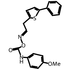 COc1ccc(NC(=O)ON=CCc2ccc(-c3ccccc3)s2)cc1